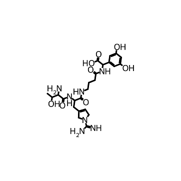 CC(O)C(N)C(=O)NC(CC1=CCN(C(=N)N)C1)C(=O)NCCCC(=O)NC(C(=O)O)c1cc(O)cc(O)c1